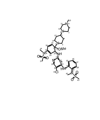 COC1(N2CCC(N3CCN(C)CC3)CC2)C=CC(N(C)S(C)(=O)=O)=CC1Nc1ncc(Cl)c(Nc2ccccc2N(C)S(C)(=O)=O)n1